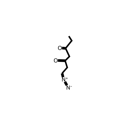 CCC(=O)CC(=O)CC=[N+]=[N-]